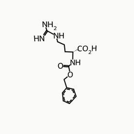 N=C(N)NCCC[C@@H](NC(=O)OCc1ccccc1)C(=O)O